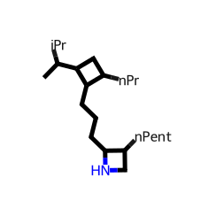 CCCCCC1CNC1CCCC1C(CCC)CC1C(C)C(C)C